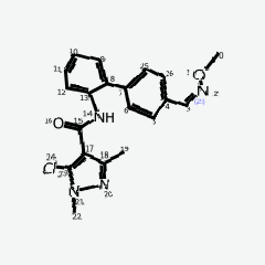 CO/N=C\c1ccc(-c2ccccc2NC(=O)c2c(C)nn(C)c2Cl)cc1